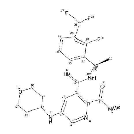 CNC(=O)c1ncc(NC2CCOCC2)cc1C(=N)N[C@H](C)c1cccc(C(F)F)c1F